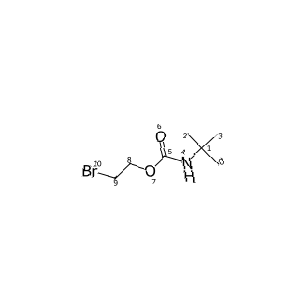 CC(C)(C)NC(=O)OCCBr